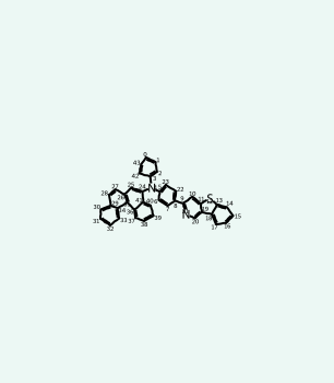 c1ccc(N(c2ccc(-c3cc4sc5ccccc5c4cn3)cc2)c2cc3ccc4ccccc4c3c3ccccc23)cc1